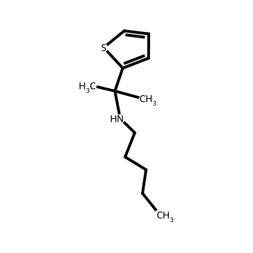 CCCCCNC(C)(C)c1cccs1